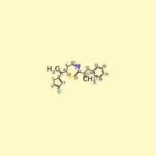 C=C(C1=CC(F)=CC1)C1CC=NC(C(C)Cc2ccccc2)=CS1